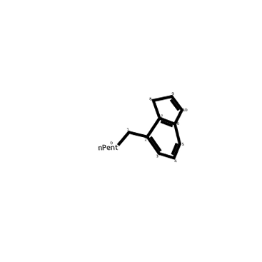 CCCCCCc1cccc2c1CC=C2